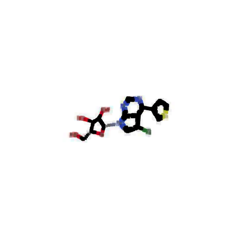 OC[C@H]1O[C@@H](n2cc(Cl)c3c(-c4ccsc4)ncnc32)C(O)[C@@H]1O